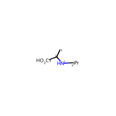 CC(C)NC(C)C(=O)O